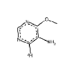 [2H]c1ncnc(OC)c1N